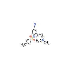 Cc1ccc(S(=O)(=O)n2cc([C@H]3C[C@@H]3CN(C)C)c3cc(C#N)ccc32)cc1